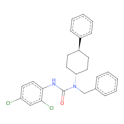 O=C(Nc1ccc(Cl)cc1Cl)N(Cc1ccccc1)[C@H]1CC[C@H](c2ccccc2)CC1